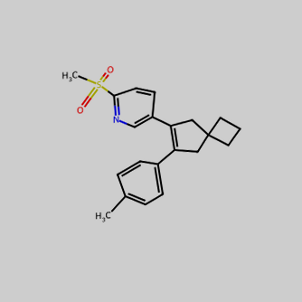 Cc1ccc(C2=C(c3ccc(S(C)(=O)=O)nc3)CC3(CCC3)C2)cc1